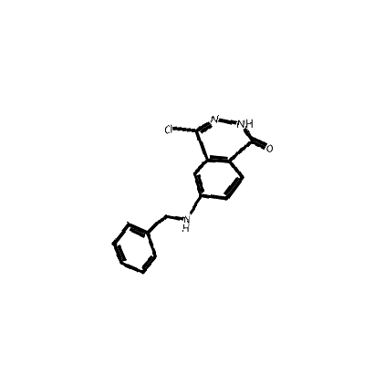 O=c1[nH]nc(Cl)c2cc(NCc3ccccc3)ccc12